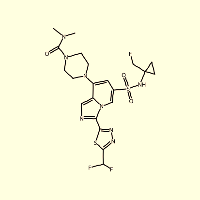 CN(C)C(=O)N1CCN(c2cc(S(=O)(=O)NC3(CF)CC3)cn3c(-c4nnc(C(F)F)s4)ncc23)CC1